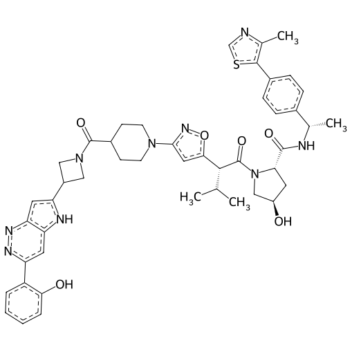 Cc1ncsc1-c1ccc([C@H](C)NC(=O)[C@@H]2C[C@@H](O)CN2C(=O)[C@@H](c2cc(N3CCC(C(=O)N4CC(c5cc6nnc(-c7ccccc7O)cc6[nH]5)C4)CC3)no2)C(C)C)cc1